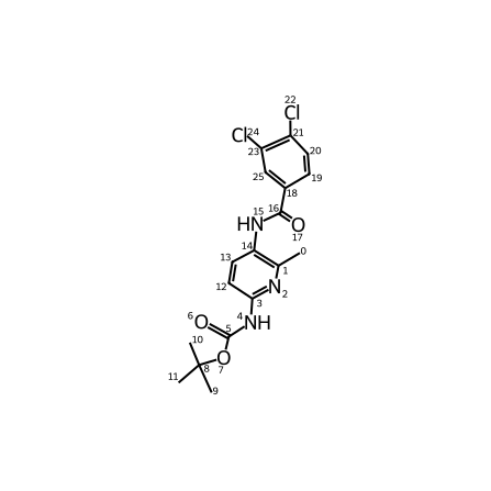 Cc1nc(NC(=O)OC(C)(C)C)ccc1NC(=O)c1ccc(Cl)c(Cl)c1